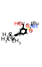 CC(C)(C)NS(=O)(=O)c1ccc(C#C[Si](C)(C)C)cc1CO